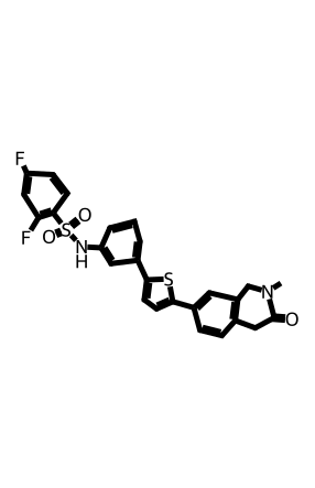 CN1Cc2cc(-c3ccc(-c4cccc(NS(=O)(=O)c5ccc(F)cc5F)c4)s3)ccc2CC1=O